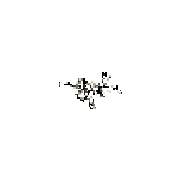 CC(OS(=O)(=O)C(C)C)N1C(OO)CCOP1(=O)N(C)CCCl